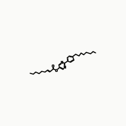 CCCCCC/C=C/C(=O)Oc1cnc(-c2ccc(CCCCCCCC)cc2)nc1